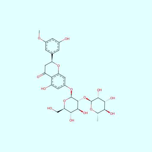 COc1cc(O)cc([C@@H]2CC(=O)c3c(O)cc(O[C@@H]4O[C@H](CO)[C@@H](O)[C@H](O)[C@H]4O[C@@H]4O[C@@H](C)[C@H](O)[C@@H](O)[C@H]4O)cc3O2)c1